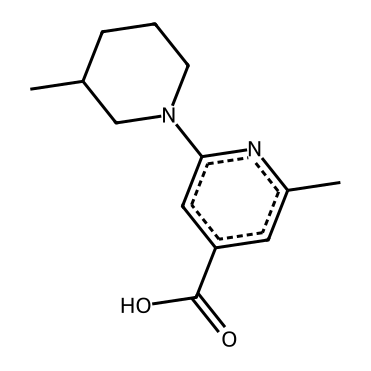 Cc1cc(C(=O)O)cc(N2CCCC(C)C2)n1